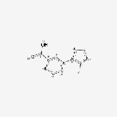 Cc1nccn1-c1cc(C(=O)O)ncn1